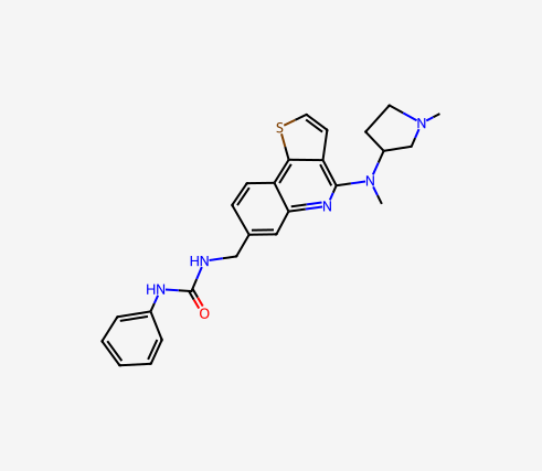 CN1CCC(N(C)c2nc3cc(CNC(=O)Nc4ccccc4)ccc3c3sccc23)C1